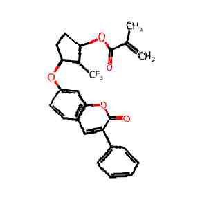 C=C(C)C(=O)OC1CCC(Oc2ccc3cc(-c4ccccc4)c(=O)oc3c2)C1C(F)(F)F